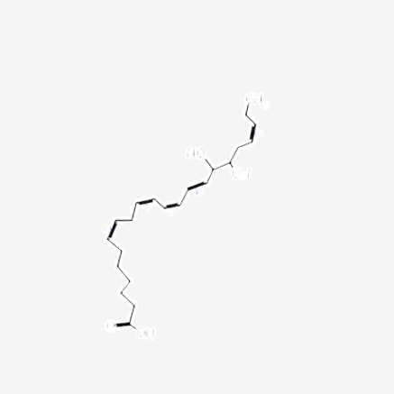 CC/C=C\CC(O)C(O)/C=C/C=C\C=C/C/C=C\CCCCCC(=O)O